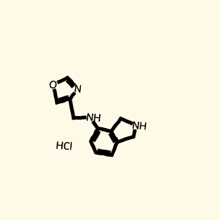 Cl.c1cc2c(c(NCc3cocn3)c1)CNC2